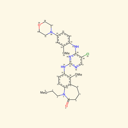 COCCN1C(=O)CCCc2c1ccc(Nc1ncc(Cl)c(Nc3ccc(N4CCOCC4)cc3OC)n1)c2OC